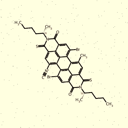 [C-]#[N+]c1cc2c3c(cc(Br)c4c5c(C)cc6c7c(cc(Br)c(c1c34)c75)C(=O)N([C@@H](C)CCCC)C6=S)C(=O)N([C@@H](C)CCCC)C2=S